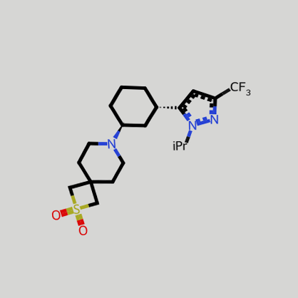 CC(C)n1nc(C(F)(F)F)cc1[C@H]1CCC[C@H](N2CCC3(CC2)CS(=O)(=O)C3)C1